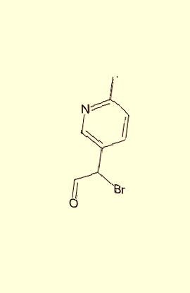 [CH2]c1ccc(C(Br)C=O)cn1